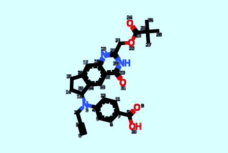 C#CCN(c1ccc(C(=O)O)cc1)[C@H]1CCc2cc3nc(COC(=O)C(C)(C)C)[nH]c(=O)c3cc21